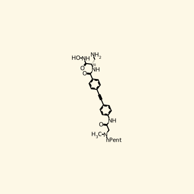 CCCCCN(C)CC(=O)Nc1ccc(C#Cc2ccc(C(=O)N[C@@H](CN)C(=O)NO)cc2)cc1